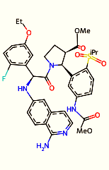 CCOc1ccc(F)c([C@H](Nc2ccc3c(N)nccc3c2)C(=O)N2CC[C@@H](C(=O)OC)[C@H]2c2cc(NC(=O)OC)ccc2S(=O)(=O)C(C)C)c1